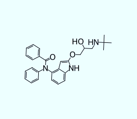 CC(C)(C)NCC(O)COc1cc2c(N(C(=O)c3ccccc3)c3ccccc3)cccc2[nH]1